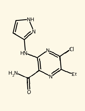 CCc1nc(C(N)=O)c(Nc2cc[nH]n2)nc1Cl